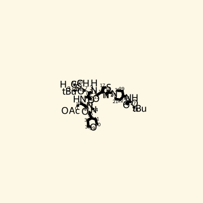 CC(=O)OC[C@H](NC(=O)[C@H](CO[Si](C)(C)C(C)(C)C)NC(=O)c1csc(N2CCC(NC(=O)OC(C)(C)C)CC2)n1)c1nnc(C2CCOCC2)o1